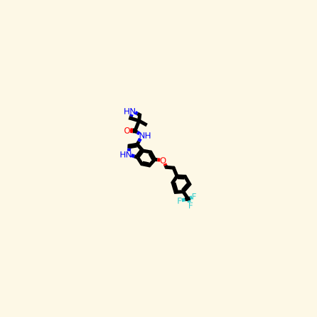 CC1(C(=O)Nc2c[nH]c3ccc(OCCc4ccc(C(F)(F)F)cc4)cc23)CNC1